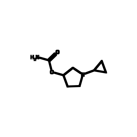 NC(=O)OC1CCN(C2CC2)C1